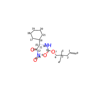 C=CCC(C)(C)COC(=O)N[C@H](C(=O)N=O)C1CCCCC1